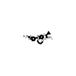 NC(=O)[C@@H](Oc1cc2c3c(c1)nc(-c1ccc4nc(N)sc4c1)n3CCCCO2)C1CC1